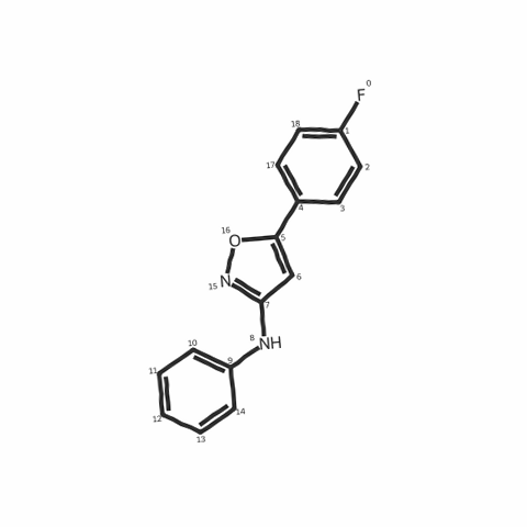 Fc1ccc(-c2cc(Nc3ccccc3)no2)cc1